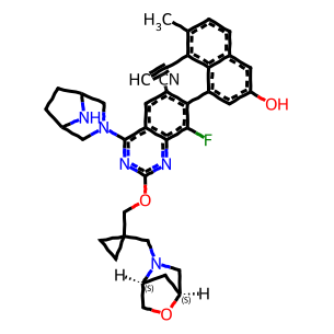 C#Cc1c(C)ccc2cc(O)cc(-c3c(C#N)cc4c(N5CC6CCC(C5)N6)nc(OCC5(CN6C[C@@H]7C[C@H]6CO7)CC5)nc4c3F)c12